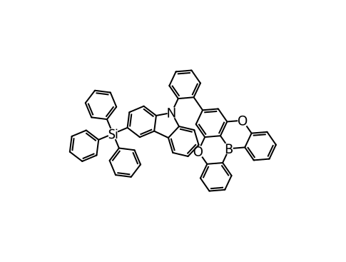 c1ccc([Si](c2ccccc2)(c2ccccc2)c2ccc3c(c2)c2ccccc2n3-c2ccccc2-c2cc3c4c(c2)Oc2ccccc2B4c2ccccc2O3)cc1